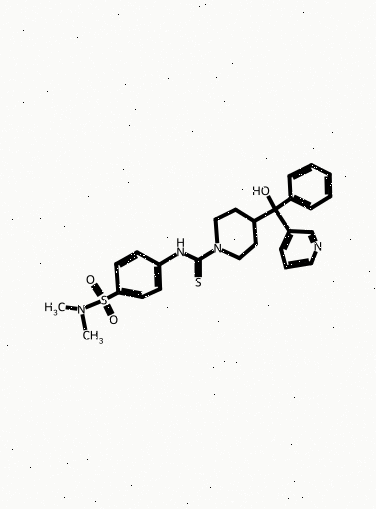 CN(C)S(=O)(=O)c1ccc(NC(=S)N2CCC(C(O)(c3ccccc3)c3cccnc3)CC2)cc1